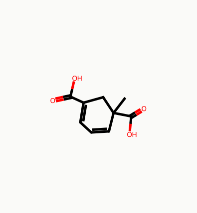 CC1(C(=O)O)C=CC=C(C(=O)O)C1